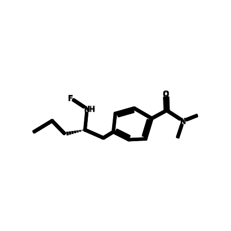 CCC[C@@H](Cc1ccc(C(=O)N(C)C)cc1)NF